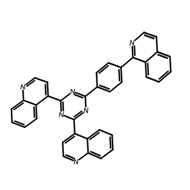 c1ccc2c(-c3ccc(-c4nc(-c5ccnc6ccccc56)nc(-c5ccnc6ccccc56)n4)cc3)nccc2c1